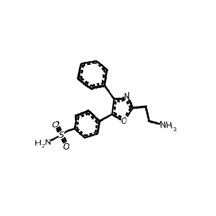 NCCc1nc(-c2ccccc2)c(-c2ccc(S(N)(=O)=O)cc2)o1